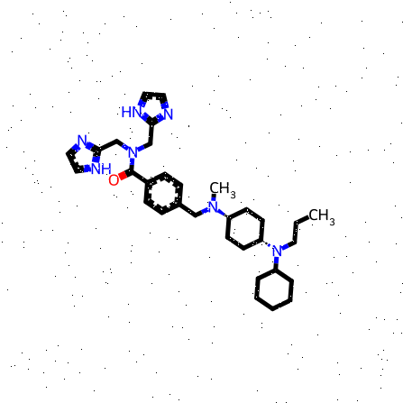 CCCN(C1CCCCC1)[C@H]1CC[C@H](N(C)Cc2ccc(C(=O)N(Cc3ncc[nH]3)Cc3ncc[nH]3)cc2)CC1